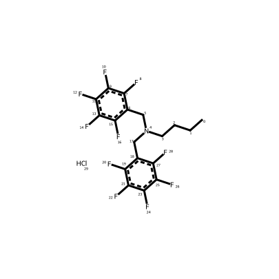 CCCCN(Cc1c(F)c(F)c(F)c(F)c1F)Cc1c(F)c(F)c(F)c(F)c1F.Cl